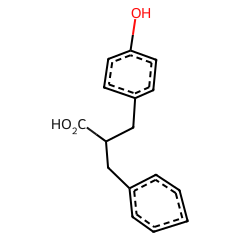 O=C(O)C(Cc1ccccc1)Cc1ccc(O)cc1